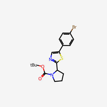 CC(C)(C)OC(=O)N1CCCC1c1ncc(-c2ccc(Br)cc2)s1